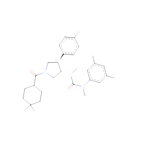 CN(C(=O)N(C)[C@@H]1CN(C(=O)C2CCC(F)(F)CC2)C[C@H]1c1ccc(F)cc1)c1cc(C(F)(F)F)cc(C(F)(F)F)c1